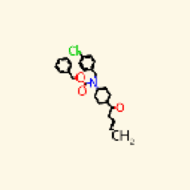 C=CCCC(=O)C1CCC(N(Cc2ccc(Cl)cc2)C(=O)OCc2ccccc2)CC1